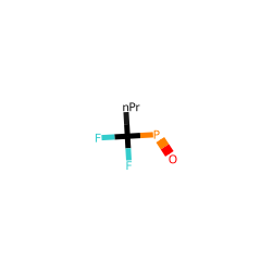 CCCC(F)(F)P=O